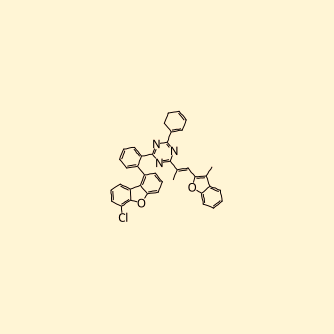 C/C(=C\c1oc2ccccc2c1C)c1nc(C2=CC=CCC2)nc(-c2ccccc2-c2cccc3oc4c(Cl)cccc4c23)n1